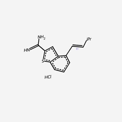 CC(C)/C=C/c1cccc2sc(C(=N)N)cc12.Cl